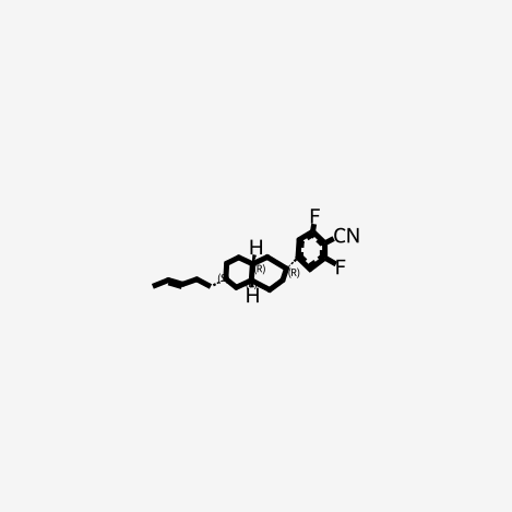 CC=CCC[C@@H]1CC[C@@H]2C[C@H](c3cc(F)c(C#N)c(F)c3)CC[C@@H]2C1